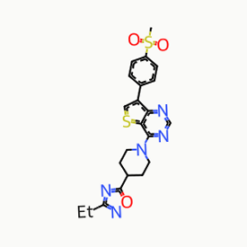 CCc1noc(C2CCN(c3ncnc4c(-c5ccc(S(C)(=O)=O)cc5)csc34)CC2)n1